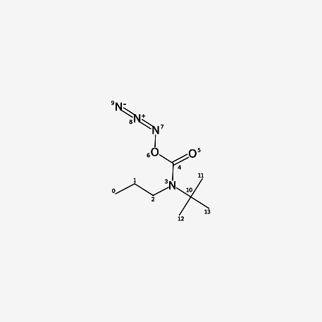 CCCN(C(=O)ON=[N+]=[N-])C(C)(C)C